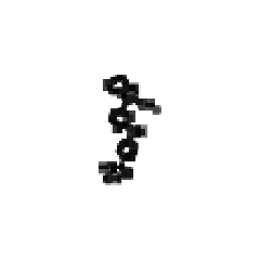 Cc1nc2ccncn2c1-c1ccnc(Nc2ccc(C(=O)NO)cc2)n1